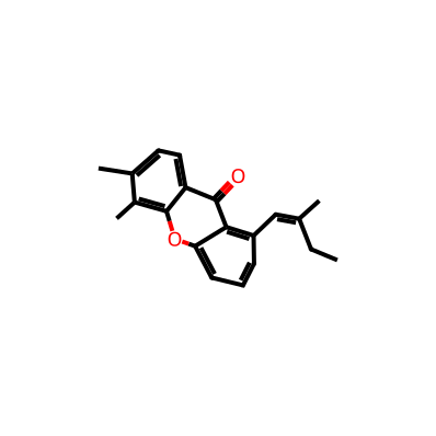 CCC(C)=Cc1cccc2oc3c(C)c(C)ccc3c(=O)c12